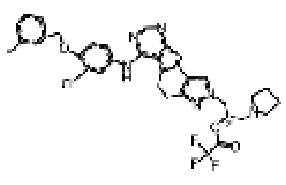 O=C(O[C@H](CN1CCCC1)Cn1cc2c(n1)CCc1c-2sc2ncnc(Nc3ccc(OCc4cccc(F)c4)c(Cl)c3)c12)C(F)(F)F